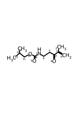 C=C(C)C(=O)CCNC(=O)OCC(C)C